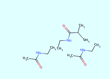 CCNC(=O)C(C)[SiH3].CCNC(C)=O.CCNC(C)=O